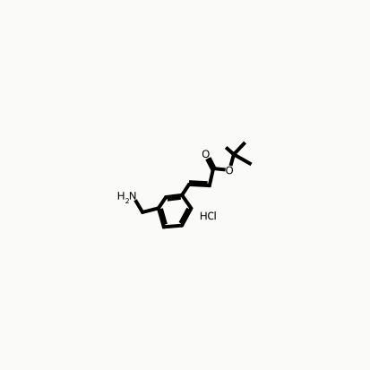 CC(C)(C)OC(=O)C=Cc1cccc(CN)c1.Cl